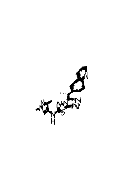 Cc1nn(C)cc1Nc1nn2c([C@H](C)c3ccc4ncccc4c3)nnc2s1